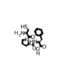 N[C@@H](CS)C(=O)N1CCC[C@H]1C(=O)N[C@@H](Cc1ccccc1)C(=O)O